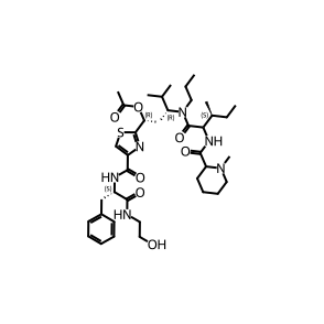 CCCN(C(=O)C(NC(=O)C1CCCCN1C)[C@@H](C)CC)[C@H](C[C@@H](OC(C)=O)c1nc(C(=O)N[C@@H](Cc2ccccc2)C(=O)NCCO)cs1)C(C)C